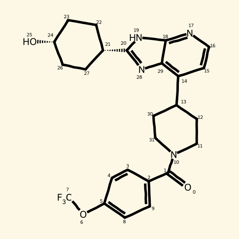 O=C(c1ccc(OC(F)(F)F)cc1)N1CCC(c2ccnc3[nH]c([C@H]4CC[C@@H](O)CC4)nc23)CC1